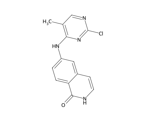 Cc1cnc(Cl)nc1Nc1ccc2c(=O)[nH]ccc2c1